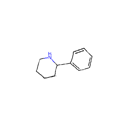 [CH]1CCCNC1c1ccccc1